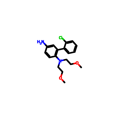 COCCN(CCOC)c1ccc(N)cc1-c1ccccc1Cl